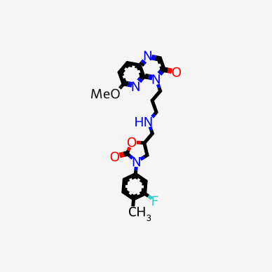 COc1ccc2ncc(=O)n(CCCNCC3CN(c4ccc(C)c(F)c4)C(=O)O3)c2n1